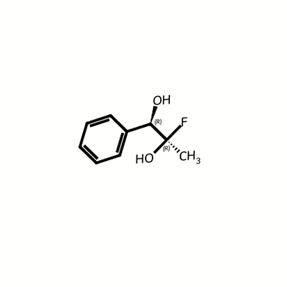 C[C@@](O)(F)[C@H](O)c1ccccc1